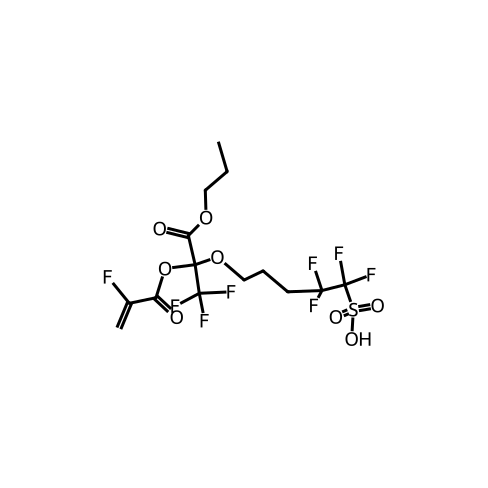 C=C(F)C(=O)OC(OCCCC(F)(F)C(F)(F)S(=O)(=O)O)(C(=O)OCCC)C(F)(F)F